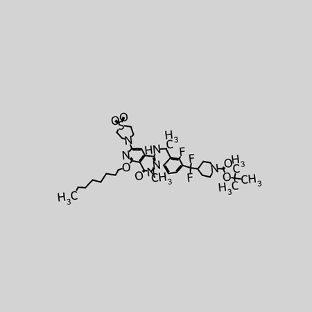 CCCCCCCCOc1nc(N2CCS(=O)(=O)CC2)cc2c(N[C@H](C)c3cccc(C(F)(F)C4CCN(C(=O)OC(C)(C)C)CC4)c3F)nn(C)c(=O)c12